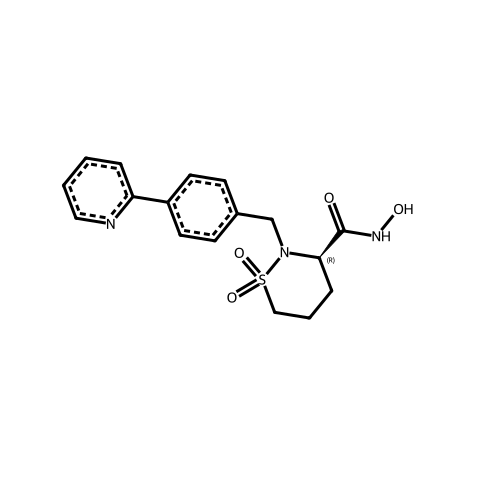 O=C(NO)[C@H]1CCCS(=O)(=O)N1Cc1ccc(-c2ccccn2)cc1